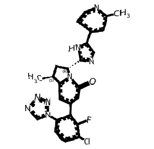 Cc1cc(-c2cnc([C@H]3C[C@H](C)c4cc(-c5c(-n6cnnn6)ccc(Cl)c5F)cc(=O)n43)[nH]2)ccn1